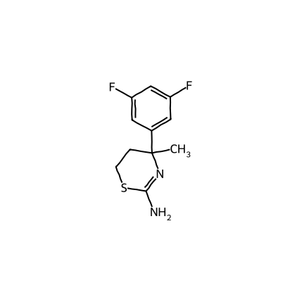 CC1(c2cc(F)cc(F)c2)CCSC(N)=N1